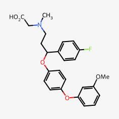 COc1cccc(Oc2ccc(OC(CCN(C)CC(=O)O)c3ccc(F)cc3)cc2)c1